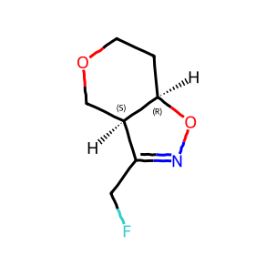 FCC1=NO[C@@H]2CCOC[C@H]12